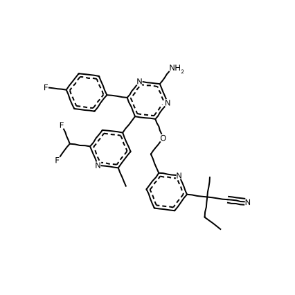 CCC(C)(C#N)c1cccc(COc2nc(N)nc(-c3ccc(F)cc3)c2-c2cc(C)nc(C(F)F)c2)n1